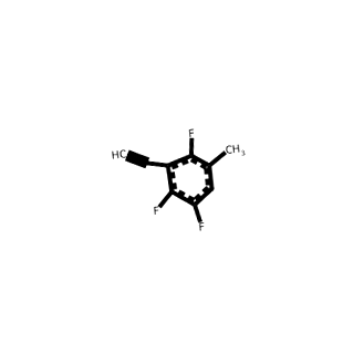 C#Cc1c(F)c(C)cc(F)c1F